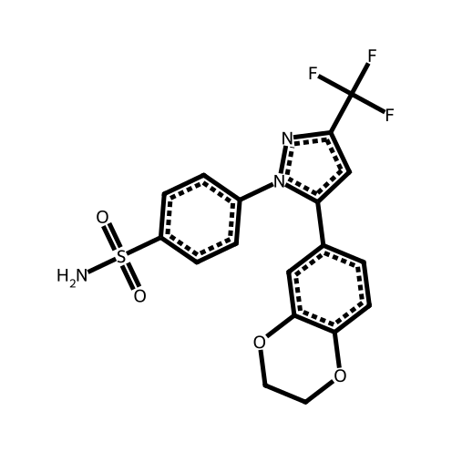 NS(=O)(=O)c1ccc(-n2nc(C(F)(F)F)cc2-c2ccc3c(c2)OCCO3)cc1